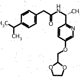 CC(C)c1ccc(CC(=O)N[C@H](C)c2ccc(OCC3OCCO3)cn2)cc1